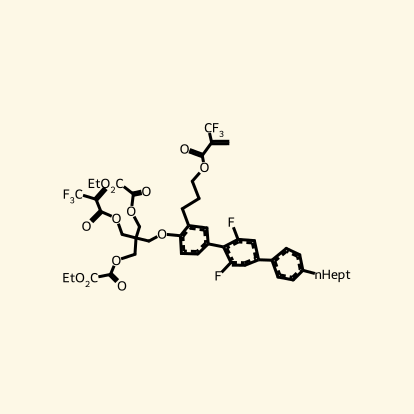 C=C(C(=O)OCCCc1cc(-c2c(F)cc(-c3ccc(CCCCCCC)cc3)cc2F)ccc1OCC(COC(=O)C(=C)C(F)(F)F)(COC(=O)C(=O)OCC)COC(=O)C(=O)OCC)C(F)(F)F